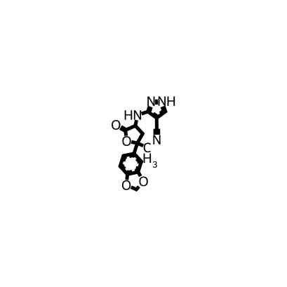 CC1(c2ccc3c(c2)OCO3)CC(Nc2n[nH]cc2C#N)C(=O)O1